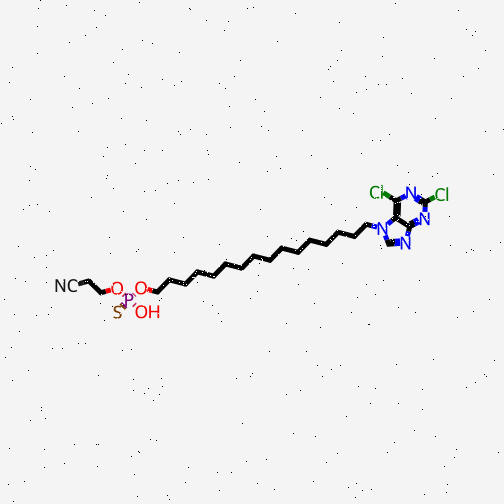 N#CCCOP(O)(=S)OCCCCCCCCCCCCCCCCn1cnc2nc(Cl)nc(Cl)c21